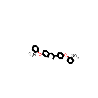 C/C(=C\c1ccc(Oc2ccccc2[N+](=O)[O-])cc1)c1ccc(Oc2ccccc2[N+](=O)[O-])cc1